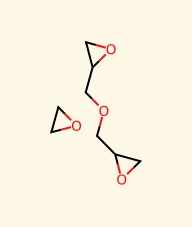 C(OCC1CO1)C1CO1.C1CO1